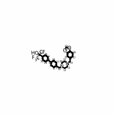 OC(c1ccc(-c2ccc(CN3CCN(Cc4ccc5c(c4)OCO5)CC3)cc2)cc1)(C(F)(F)F)C(F)(F)F